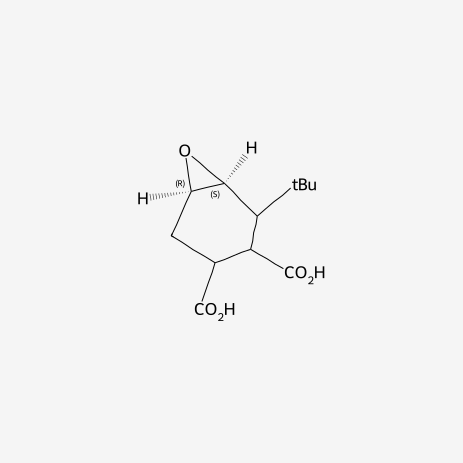 CC(C)(C)C1C(C(=O)O)C(C(=O)O)C[C@H]2O[C@@H]12